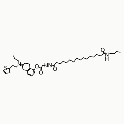 CCCCNC(=O)CCCCCCCCCCCCCCC(=O)NCCC(=O)Oc1cccc2c1CC[C@@H](N(CCC)CCc1cccs1)C2